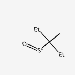 [CH2]CC(C)(CC)[S+]=O